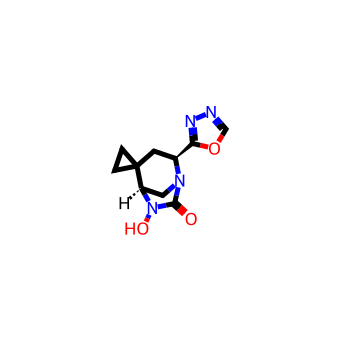 O=C1N(O)[C@@H]2CN1[C@H](c1nnco1)CC21CC1